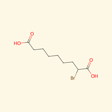 O=C(O)CCCCCCC(Br)C(=O)O